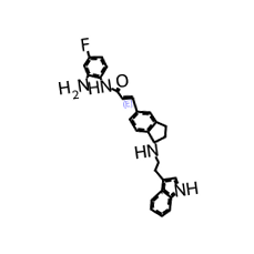 Nc1cc(F)ccc1NC(=O)/C=C/c1ccc2c(c1)CCC2NCCc1c[nH]c2ccccc12